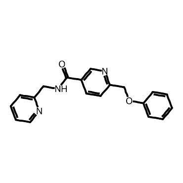 O=C(NCc1ccccn1)c1ccc(COc2ccccc2)nc1